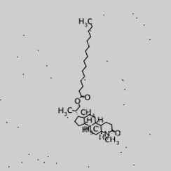 CCCCCCCCCCCCCCCC(=O)OCC(C)[C@H]1CC[C@H]2[C@@H]3CC[C@H]4N(C)C(=O)CC[C@]4(C)[C@H]3CC[C@]12C